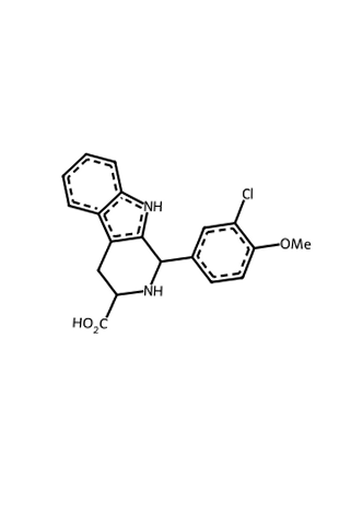 COc1ccc(C2NC(C(=O)O)Cc3c2[nH]c2ccccc32)cc1Cl